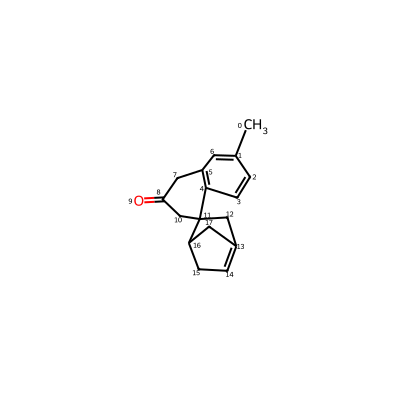 Cc1ccc2c(c1)CC(=O)CC21CC2=CCC1C2